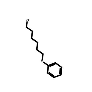 ClCCCCCCOc1cc[c]cc1